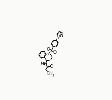 C=CC(=O)NC1CCN(S(=O)(=O)c2ccc(-n3cccn3)cc2)c2ccccc21